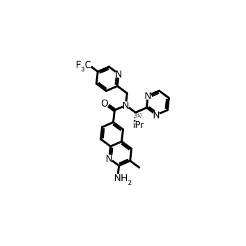 Cc1cc2cc(C(=O)N(Cc3ccc(C(F)(F)F)cn3)[C@H](c3ncccn3)C(C)C)ccc2nc1N